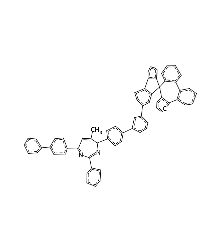 CC1=CC(c2ccc(-c3ccccc3)cc2)=NC(c2ccccc2)=NC1c1ccc(-c2cccc(-c3ccc4c(c3)C3(c5ccccc5-c5ccccc5-c5ccccc53)c3ccccc3-4)c2)cc1